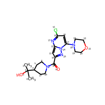 CC(C)(O)C1CCN(C(=O)c2cc3nc(Cl)cc(N4CCOCC4)n3n2)CC1